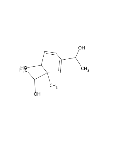 CC(O)C1=CC(C)(C(C)O)C(O)C=C1